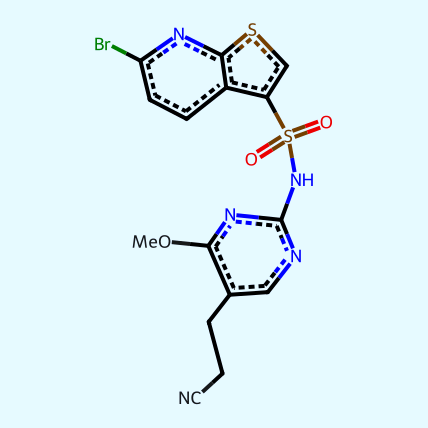 COc1nc(NS(=O)(=O)c2csc3nc(Br)ccc23)ncc1CCC#N